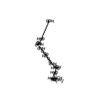 BN[C@@H](CCCCNC(=O)CC[C@H](NC(=O)CCCNC(=O)COCCOCCNC(=O)COCCOCCNC(=O)CC[C@H](NC(=O)CCCNC(=O)CCCCCCCCCCCCCCCCC(=O)O)C(=O)O)C(=O)O)C(=O)N[C@@H](CC)C(N)=O